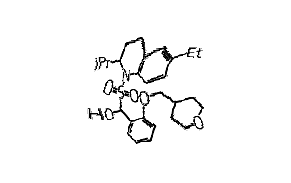 CCc1ccc2c(c1)CCC(C(C)C)N2S(=O)(=O)C(O)c1ccccc1OCC1CCOCC1